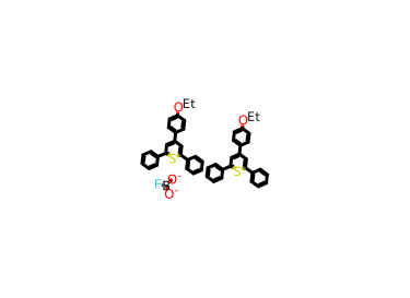 CCOc1ccc(-c2cc(-c3ccccc3)[s+]c(-c3ccccc3)c2)cc1.CCOc1ccc(-c2cc(-c3ccccc3)[s+]c(-c3ccccc3)c2)cc1.[O-]B([O-])F